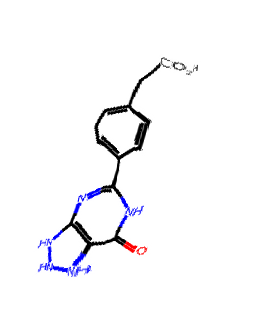 O=C(O)Cc1ccc(-c2nc3c(c(=O)[nH]2)NNN3)cc1